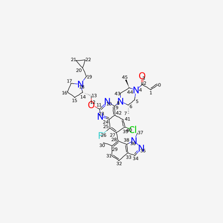 C=CC(=O)N1C[C@H](C)N(c2nc(OC[C@@H]3CCCN3CC3CC3)nc3c(F)c(-c4c(C)ccc5cnn(C)c45)c(Cl)cc23)C[C@H]1C